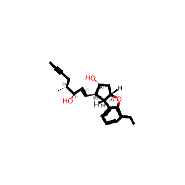 CC#CC[C@@H](C)[C@H](O)/C=C/[C@@H]1[C@H]2c3cccc(CC)c3O[C@H]2C[C@H]1O